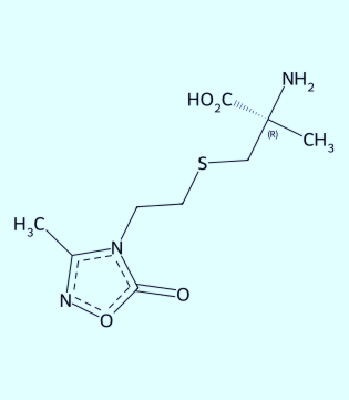 Cc1noc(=O)n1CCSC[C@](C)(N)C(=O)O